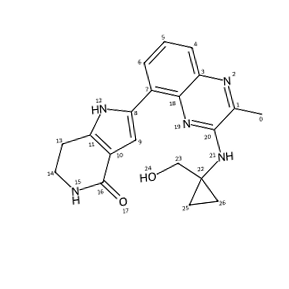 Cc1nc2cccc(-c3cc4c([nH]3)CCNC4=O)c2nc1NC1(CO)CC1